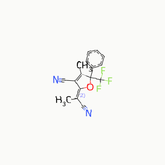 CC1=C(C#N)/C(=C(\C)C#N)OC1(c1ccccc1)C(F)(F)F